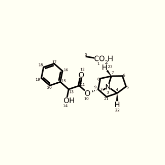 CC(=O)O.CN1[C@@H]2CC[C@H]1C[C@@H](OC(=O)C(O)c1ccccc1)C2